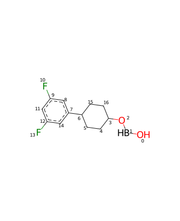 OBOC1CCC(c2cc(F)cc(F)c2)CC1